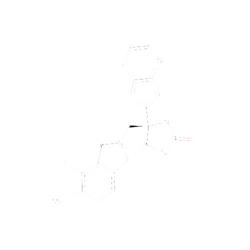 COc1ccc2c(c1F)C(=O)N(C[C@@]1(c3cc4ncccc4o3)NC(=O)NC1=O)C2